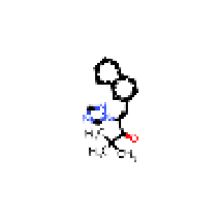 CC(C)(C)C(=O)C(=Cc1ccc2ccccc2c1)n1cncn1